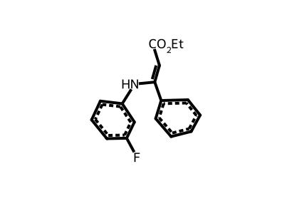 CCOC(=O)/C=C(\Nc1cccc(F)c1)c1ccccc1